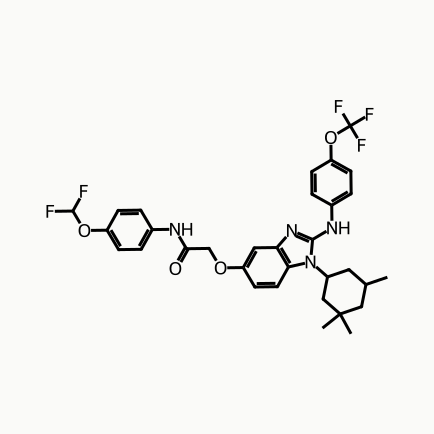 CC1CC(n2c(Nc3ccc(OC(F)(F)F)cc3)nc3cc(OCC(=O)Nc4ccc(OC(F)F)cc4)ccc32)CC(C)(C)C1